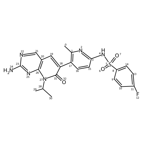 Cc1nc(NS(=O)(=O)c2ccc(F)cc2)ccc1-c1cc2cnc(N)nc2n(C(C)C)c1=O